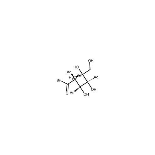 CC(=O)[C@](O)(C(=O)Br)[C@](O)(C(C)=O)[C@@](O)(C(C)=O)[C@](C)(O)CO